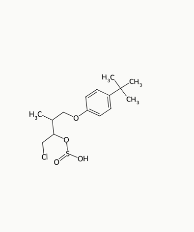 CC(COc1ccc(C(C)(C)C)cc1)C(CCl)OS(=O)O